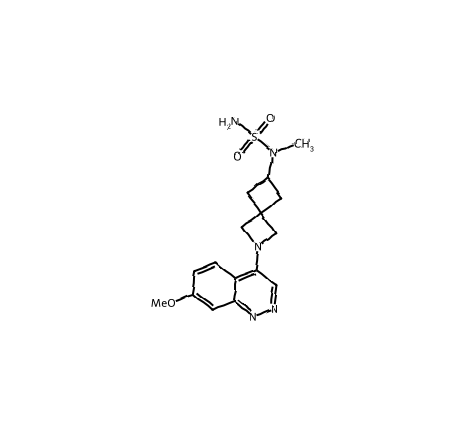 COc1ccc2c(N3CC4(CC(N(C)S(N)(=O)=O)C4)C3)cnnc2c1